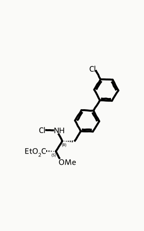 CCOC(=O)[C@@H](OC)[C@@H](Cc1ccc(-c2cccc(Cl)c2)cc1)NCl